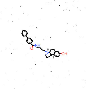 O=C(NCCCCN1CCC[C@H]2c3ccc(O)cc3CC[C@@H]21)c1ccc(-c2ccccc2)cc1